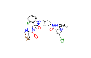 Cc1ncc(Cl)cc1C(=O)NC1CCC(CN2C(=O)C3(CN(C(=O)c4cscn4)C3)c3c(F)cccc32)CC1